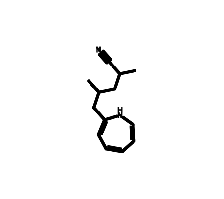 CC(C#N)CC(C)CC1=CC=CC=CN1